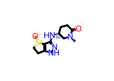 CN1C[C@@H](Nc2n[nH]c3c2[S+]([O-])CC3)CCC1=O